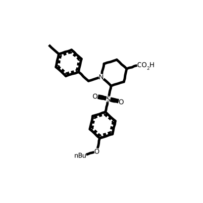 CCCCOc1ccc(S(=O)(=O)C2CC(C(=O)O)CCN2Cc2ccc(C)cc2)cc1